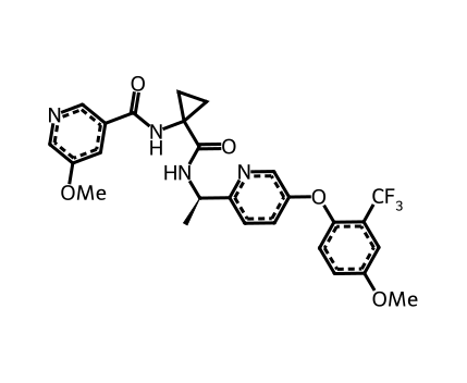 COc1cncc(C(=O)NC2(C(=O)N[C@H](C)c3ccc(Oc4ccc(OC)cc4C(F)(F)F)cn3)CC2)c1